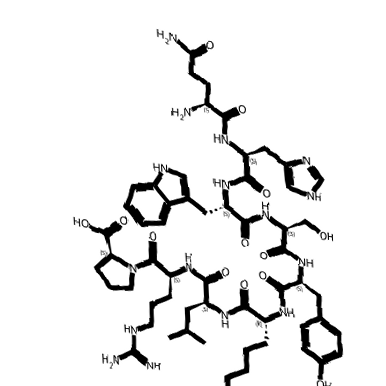 CC(C)C[C@H](NC(=O)[C@@H](CCCCN)NC(=O)[C@H](Cc1ccc(O)cc1)NC(=O)[C@H](CO)NC(=O)[C@H](Cc1c[nH]c2ccccc12)NC(=O)[C@H](Cc1c[nH]cn1)NC(=O)[C@@H](N)CCC(N)=O)C(=O)N[C@@H](CCCNC(=N)N)C(=O)N1CCC[C@H]1C(=O)O